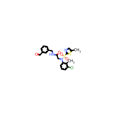 Cc1cnc(S(=O)(=O)N(CC(=O)NCc2cccc(C=O)c2)c2cccc(Cl)c2C)s1